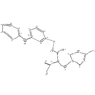 CC1=CCC(OC(C(=O)OCc2cccc(Oc3ccccc3)c2)C(C)C)CC1